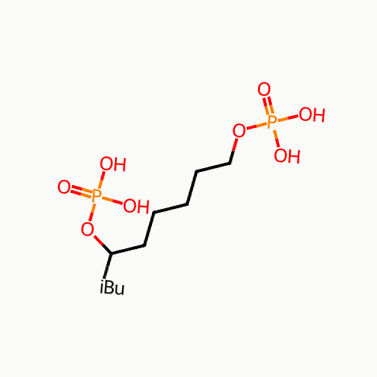 CCC(C)C(CCCCCOP(=O)(O)O)OP(=O)(O)O